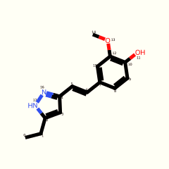 CCc1cc(C=Cc2ccc(O)c(OC)c2)n[nH]1